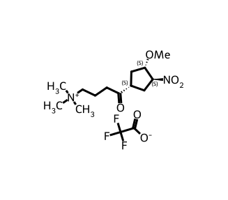 CO[C@H]1C[C@@H](C(=O)CCC[N+](C)(C)C)C[C@@H]1[N+](=O)[O-].O=C([O-])C(F)(F)F